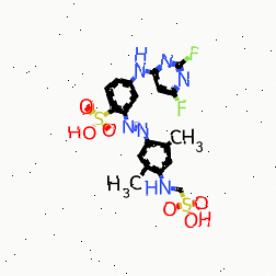 Cc1cc(NCS(=O)(=O)O)c(C)cc1/N=N/c1cc(Nc2cc(F)nc(F)n2)ccc1S(=O)(=O)O